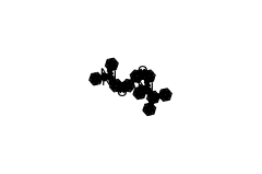 c1ccc(-c2cc(-c3ccccc3)cc(-c3nc(-c4cccc5oc6ccc(-c7ccc8oc9ccc(-c%10nc(-c%11ccccc%11)nc(-c%11ccccc%11)n%10)cc9c8c7)cc6c45)nc4ccccc34)c2)cc1